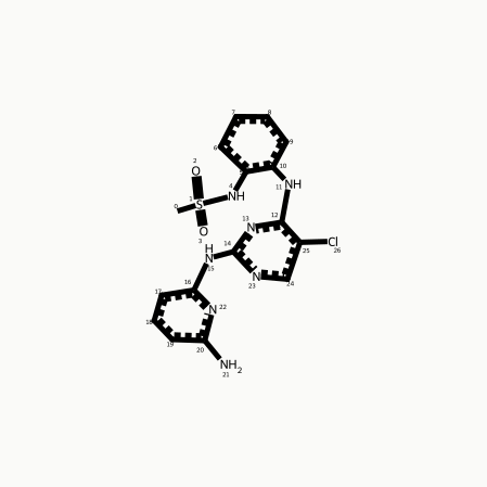 CS(=O)(=O)Nc1ccccc1Nc1nc(Nc2cccc(N)n2)ncc1Cl